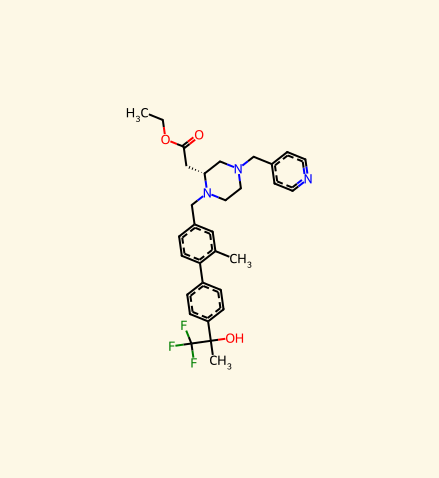 CCOC(=O)C[C@@H]1CN(Cc2ccncc2)CCN1Cc1ccc(-c2ccc(C(C)(O)C(F)(F)F)cc2)c(C)c1